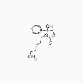 CCCCCCN1C(=S)SCC1(O)c1ccccc1